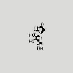 O=c1ccn([C@@H]2O[C@H](C(I)OO)[C@@H](O)[C@H]2O)c(=O)[nH]1